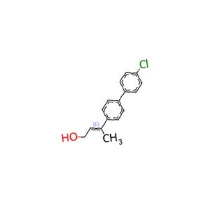 C/C(=C\CO)c1ccc(-c2ccc(Cl)cc2)cc1